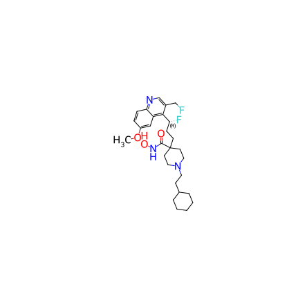 COc1ccc2ncc(CF)c([C@H](F)CCC3(C(=O)NO)CCN(CCC4CCCCC4)CC3)c2c1